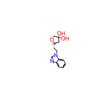 OC1(O)CO[C@@H](CCn2cnc3ccccc32)C1